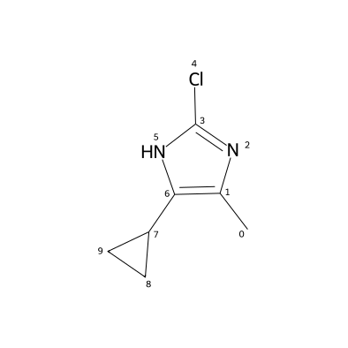 Cc1nc(Cl)[nH]c1C1CC1